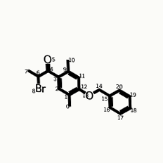 Cc1cc(C(=O)C(C)Br)c(C)cc1OCc1ccccc1